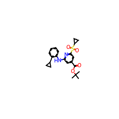 CC(C)(C)OC(=O)c1cc(Nc2ccccc2C2CC2)nc(S(=O)(=O)C2CC2)c1